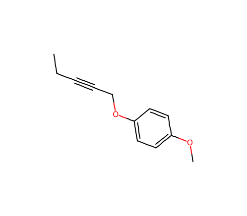 CCC#CCOc1ccc(OC)cc1